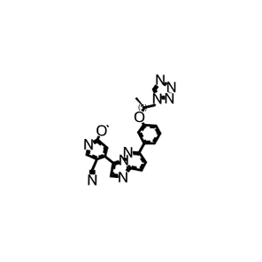 COc1cc(-c2cnc3ccc(-c4cccc(O[C@@H](C)Cn5cnnn5)c4)nn23)c(C#N)cn1